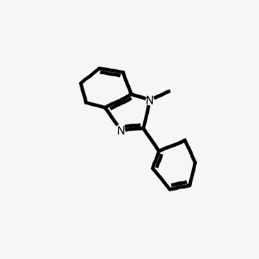 Cn1c(C2=CC=CCC2)nc2c1C=CCC2